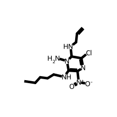 C=CCNC1C(Cl)=NC([N+](=O)[O-])=C(NCCCCC)N1N